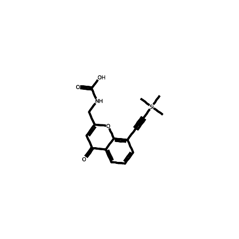 C[Si](C)(C)C#Cc1cccc2c(=O)cc(CNC(=O)O)oc12